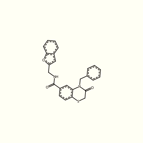 O=C(NCc1cc2ccccc2o1)c1ccc2c(c1)N(Cc1ccccc1)C(=O)CS2